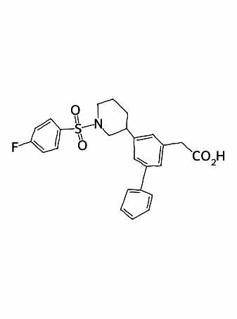 O=C(O)Cc1cc(-c2ccccc2)cc(C2CCCN(S(=O)(=O)c3ccc(F)cc3)C2)c1